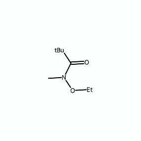 CCON(C)C(=O)C(C)(C)C